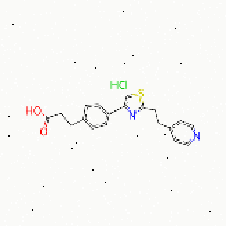 Cl.O=C(O)CCc1ccc(-c2csc(CCc3ccncc3)n2)cc1